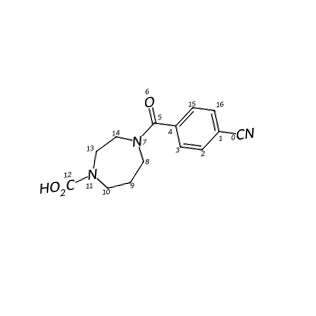 N#Cc1ccc(C(=O)N2CCCN(C(=O)O)CC2)cc1